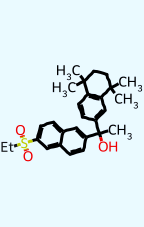 CCS(=O)(=O)c1ccc2cc(C(C)(O)c3ccc4c(c3)C(C)(C)CCC4(C)C)ccc2c1